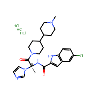 CN1CCC(C2CCN(C(=O)[C@@](C)(NC(=O)c3cc4cc(Cl)ccc4[nH]3)n3ccnc3)CC2)CC1.Cl.Cl.Cl